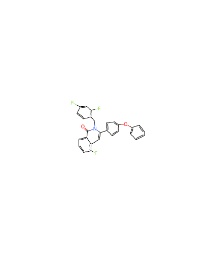 O=c1c2cccc(F)c2cc(-c2ccc(Oc3ccccc3)cc2)n1Cc1ccc(F)cc1F